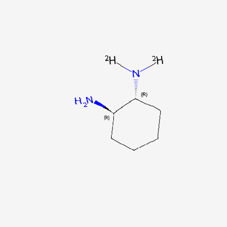 [2H]N([2H])[C@@H]1CCCC[C@H]1N